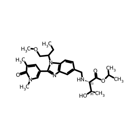 CCC(COC)n1c(-c2cc(C)c(=O)n(C)c2)nc2cc(CN[C@H](C(=O)OC(C)C)[C@@H](C)O)ccc21